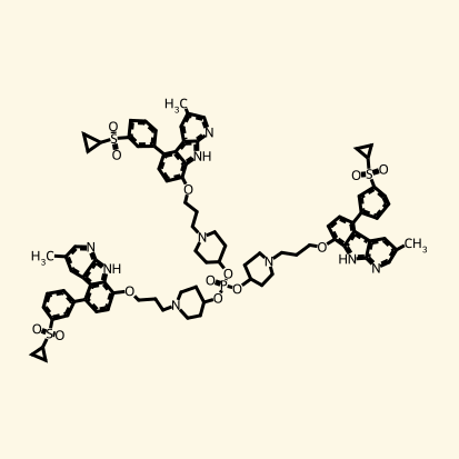 Cc1cnc2[nH]c3c(OCCCN4CCC(OP(=O)(OC5CCN(CCCOc6ccc(-c7cccc(S(=O)(=O)C8CC8)c7)c7c6[nH]c6ncc(C)cc67)CC5)OC5CCN(CCCOc6ccc(-c7cccc(S(=O)(=O)C8CC8)c7)c7c6[nH]c6ncc(C)cc67)CC5)CC4)ccc(-c4cccc(S(=O)(=O)C5CC5)c4)c3c2c1